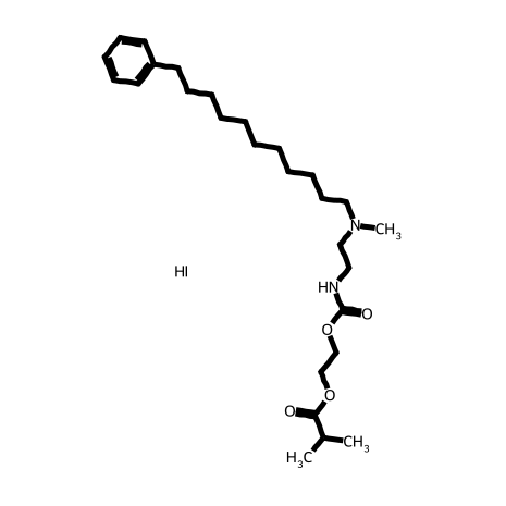 CC(C)C(=O)OCCOC(=O)NCCN(C)CCCCCCCCCCCc1ccccc1.I